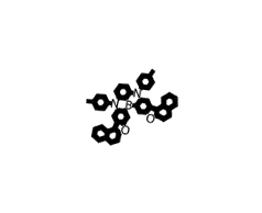 Cc1ccc(N2c3cc4c(cc3B3c5cc6oc7ccc8ccccc8c7c6cc5N(c5ccc(C)cc5)c5cccc2c53)oc2ccc3ccccc3c24)cc1